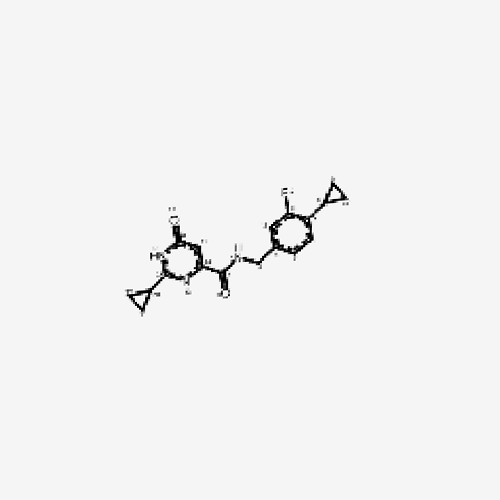 O=C(NCc1ccc(C2CC2)c(F)c1)c1cc(=O)[nH]c(C2CC2)n1